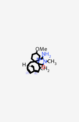 C=CC1=C\C(=C)C2(N=C(N)N(C)C2=O)C2(CC/C=C\1)CCC(OC)CC2